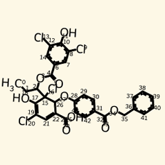 CCC(OC(=O)c1cc(Cl)c(O)c(Cl)c1)C1(Cl)C(O)=C(Cl)C=C(C(=O)O)C1Oc1ccc(C(=O)OCc2ccccc2)cc1